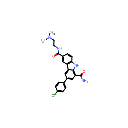 CN(C)CCNC(=O)c1ccc2[nH]c3c(C(N)=O)cc(-c4ccc(Cl)cc4)cc3c2c1